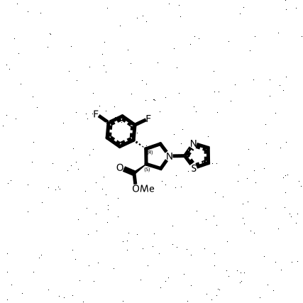 COC(=O)[C@@H]1CN(c2nccs2)C[C@H]1c1ccc(F)cc1F